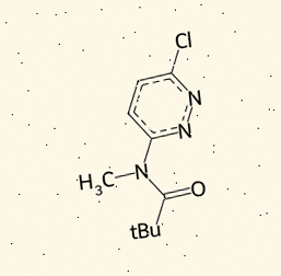 CN(C(=O)C(C)(C)C)c1ccc(Cl)nn1